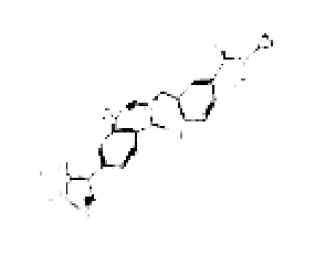 C[C@H](c1cccc(C(=O)NC2CC2)c1)n1cnc2cc(-c3cn[nH]c3N)ccc2c1=O